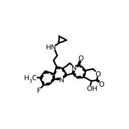 Cc1cc2c(CCNC3CC3)c3c(nc2cc1F)-c1cc2c(c(=O)n1C3)COC(=O)C2O